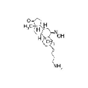 C[C@]12CCC(SCCCN)CC1/C(=N\O)C[C@@H]1[C@H]2CC[C@]2(C)C(=O)CC[C@@H]12